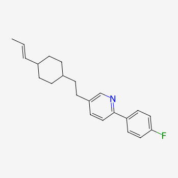 CC=CC1CCC(CCc2ccc(-c3ccc(F)cc3)nc2)CC1